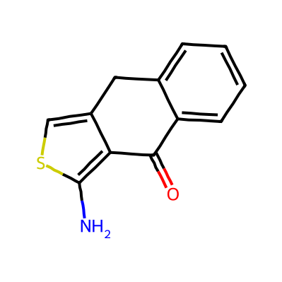 Nc1scc2c1C(=O)c1ccccc1C2